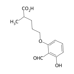 CC(CCCOc1cccc(O)c1C=O)C(=O)O